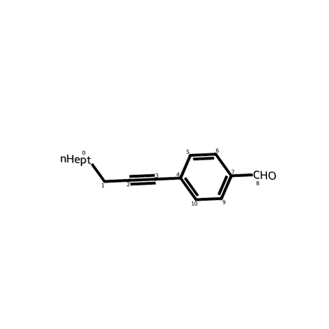 CCCCCCCCC#Cc1ccc(C=O)cc1